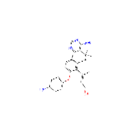 C/C(=C\CO)c1c(OC2CCC(N)CC2)ccc2c1CC(C)(C)c1c(N)ncnc1-2